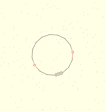 C1#CCCOCCCCCCCCOCC1